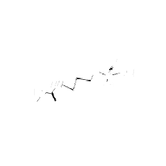 CNC(=S)NCCCOP(=O)(O)O